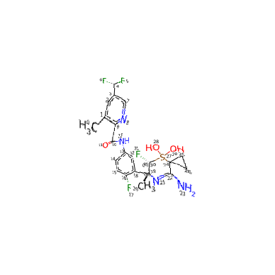 Cc1cc(C(F)F)cnc1C(=O)Nc1ccc(F)c([C@@]2(C)N=C(N)C3(CC3)S(O)(O)[C@H]2F)c1